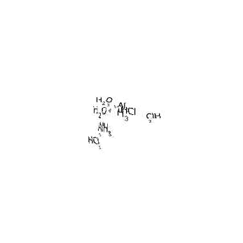 Cl.Cl.Cl.O.O.[AlH3].[AlH3]